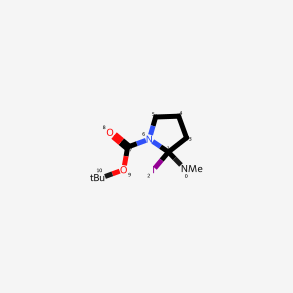 CNC1(I)CCCN1C(=O)OC(C)(C)C